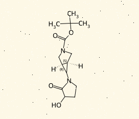 CC(C)(C)OC(=O)N1C[C@@H]2C(N3CCC(O)C3=O)[C@@H]2C1